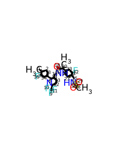 Cc1ccc(-c2nc(C(F)(F)F)ccc2CNC(=O)[C@H](C)c2ccc(CNS(C)(=O)=O)c(F)c2)cc1F